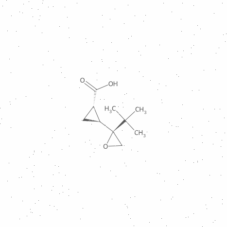 CC(C)(C)[C@@]1([C@H]2C[C@@H]2C(=O)O)CO1